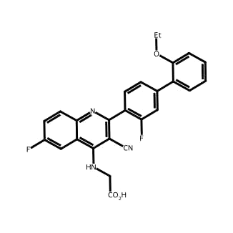 CCOc1ccccc1-c1ccc(-c2nc3ccc(F)cc3c(NCC(=O)O)c2C#N)c(F)c1